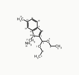 CCOC(OCC)c1cc2ccc(C)cc2n1C.N